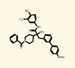 CC(=O)Nc1ccc(-c2cccc(CC(O)(C(=O)Nc3ccc(C#N)c(C(F)(F)F)c3)C3CCN(C(=O)c4ccccc4)CC3)c2)cc1